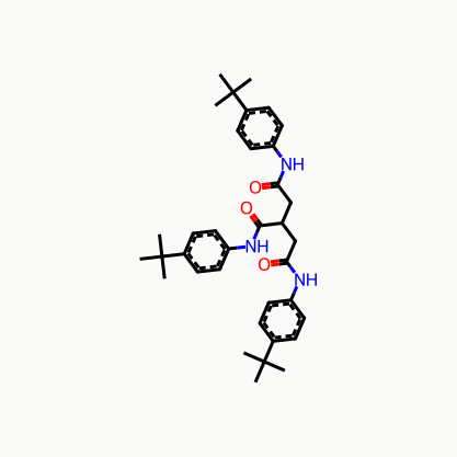 CC(C)(C)c1ccc(NC(=O)CC(CC(=O)Nc2ccc(C(C)(C)C)cc2)C(=O)Nc2ccc(C(C)(C)C)cc2)cc1